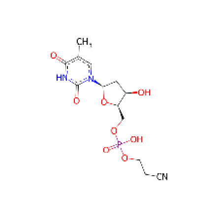 Cc1cn([C@H]2C[C@@H](O)[C@@H](COP(=O)(O)OCCC#N)O2)c(=O)[nH]c1=O